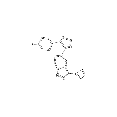 Fc1ccc(-c2ncoc2-c2ccc3nnc(C4=CC=C4)n3c2)cc1